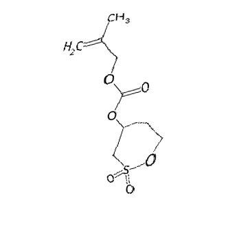 C=C(C)COC(=O)OC1CCOS(=O)(=O)C1